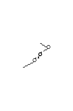 CCCCCCCCC1CCC(OC(=O)c2ccc(OCCCC3CCCCC3CCCCC)cc2)CC1